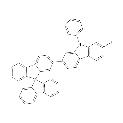 Ic1ccc2c3ccc(-c4ccc5c(c4)C(c4ccccc4)(c4ccccc4)c4ccccc4-5)cc3n(-c3ccccc3)c2c1